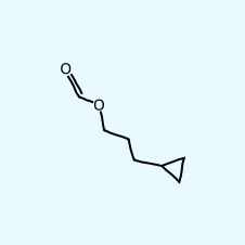 O=COCCCC1CC1